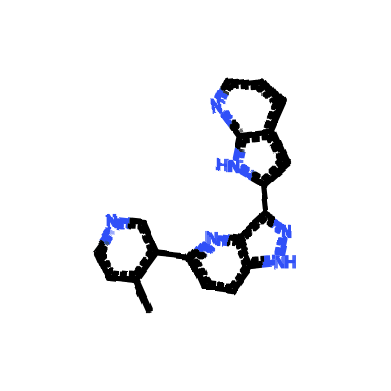 Cc1ccncc1-c1ccc2[nH]nc(-c3cc4cccnc4[nH]3)c2n1